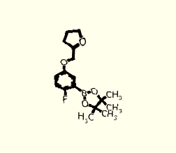 CC1(C)OB(c2cc(OCC3CCCO3)ccc2F)OC1(C)C